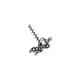 CCCCCCCCCCCCCCCC(=O)NC(Cc1cccc(N(CCCl)CCCl)c1)C(=O)NC(Cc1ccc(F)cc1)C(=O)OCC